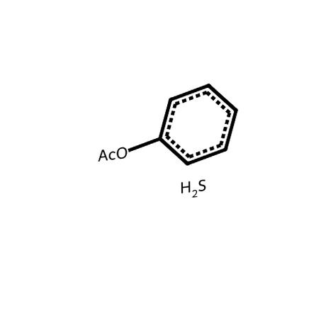 CC(=O)Oc1ccccc1.S